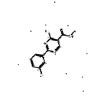 CNC(=O)c1cnc(-c2cccc(Cl)c2)nc1N